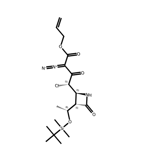 C=CCOC(=O)C(=[N+]=[N-])C(=O)[C@@H](Cl)[C@H]1NC(=O)[C@@H]1[C@@H](C)O[Si](C)(C)C(C)(C)C